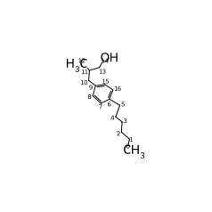 CCCCCCc1ccc(CC(C)CO)cc1